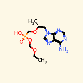 CCOCOP(=O)(O)CO[C@H](C)Cn1cnc2c(N)ncnc21